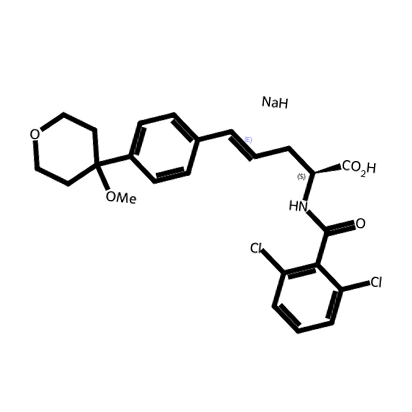 COC1(c2ccc(/C=C/C[C@H](NC(=O)c3c(Cl)cccc3Cl)C(=O)O)cc2)CCOCC1.[NaH]